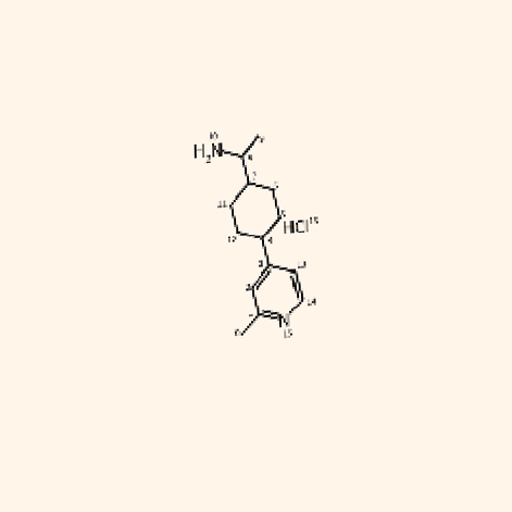 Cc1cc(C2CCC(C(C)N)CC2)ccn1.Cl